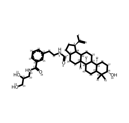 C=C(C)[C@@H]1CC[C@]2(C(=O)NCCc3cccc(C(=O)NCC(O)CO)c3)CC[C@]3(C)C(CCC4[C@@]5(C)CC[C@H](O)C(C)(C)C5CC[C@]43C)C12